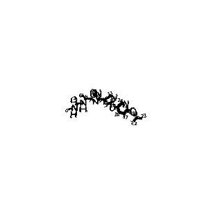 CNC(=O)NC(C)c1nc(-c2cnc(Oc3ccc(OC(C)C)nc3)s2)no1